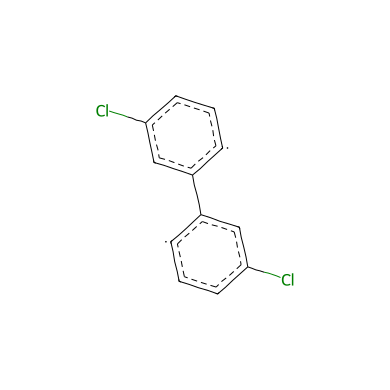 Clc1cc[c]c(-c2[c]ccc(Cl)c2)c1